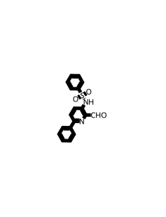 O=Cc1nc(-c2ccccc2)ccc1NS(=O)(=O)c1ccccc1